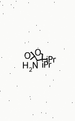 CC(C)C1(C(C)C)COC2(COC2)[C@H]1N